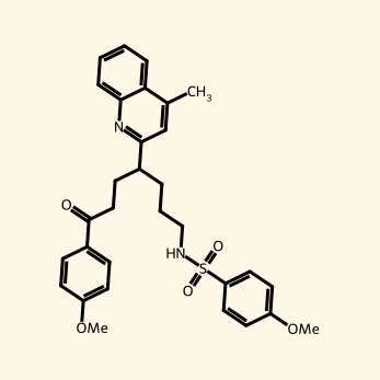 COc1ccc(C(=O)CCC(CCCNS(=O)(=O)c2ccc(OC)cc2)c2cc(C)c3ccccc3n2)cc1